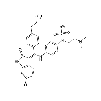 CCCS(=O)(=O)N(CCN(C)C)c1ccc(NC(=C2C(=O)Nc3cc(Cl)ccc32)c2ccc(CCC(=O)O)cc2)cc1